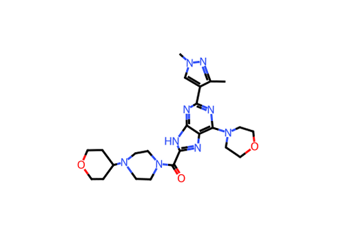 Cc1nn(C)cc1-c1nc(N2CCOCC2)c2nc(C(=O)N3CCN(C4CCOCC4)CC3)[nH]c2n1